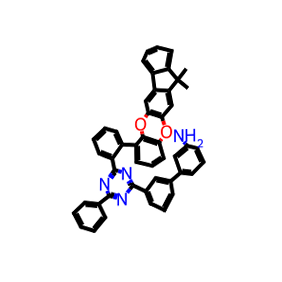 CC1(C)c2ccccc2-c2cc3c(cc21)Oc1cccc(-c2ccccc2-c2nc(-c4ccccc4)nc(-c4cccc(-c5cccc(N)c5)c4)n2)c1O3